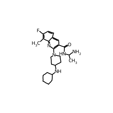 Cc1c(F)ccc2cc(C(=O)NC(C)N)c(N3CCC(NC4CCCCC4)CC3)nc12